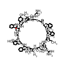 CCCCC1C(=O)N[C@@H](CCCNC(=N)N)C(=O)N[C@@H](CC(=O)O)C(=O)N[C@@H](C(C)C)C(=O)N(C)[C@@H](Cc2ccccc2)C(=O)N[C@@H](Cc2ccc(O)cc2)C(=O)N(C)CC(=O)N[C@@H](Cc2c[nH]c3ccccc23)C(=O)N[C@@H](Cc2ccc(O)cc2)C(=O)N[C@@H](CC(C)C)C(=O)N[C@H](C(=O)NCC(N)=O)CSCC(=O)N[C@@H](Cc2ccccc2)C(=O)N(C)[C@@H](Cc2ccccc2)C(=O)N1C